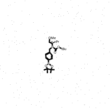 CCC[C@H](COC)N(Cc1ccc(B2OC(C)(C)C(C)(C)O2)cc1)C(=O)OC(C)(C)C